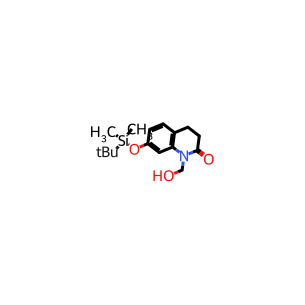 CC(C)(C)[Si](C)(C)Oc1ccc2c(c1)N(CO)C(=O)CC2